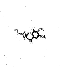 Cc1cc2c(c(C)c1C)OC1(CC2=O)CN(CO)C1